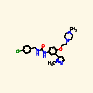 CN1CCN(CCOc2ccc(NC(=O)NCc3ccc(Cl)cc3)cc2-c2ccnn2C)CC1